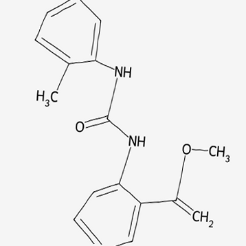 C=C(OC)c1ccccc1NC(=O)Nc1ccccc1C